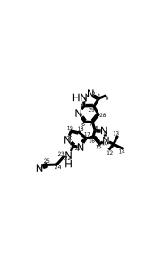 Cc1n[nH]c2ncc(-c3nn(C(C)(C)C)cc3-c3ccnc(NCCC#N)n3)cc12